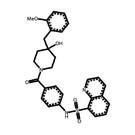 COc1ccccc1CC1(O)CCN(C(=O)c2ccc(NS(=O)(=O)c3cccc4cccnc34)cc2)CC1